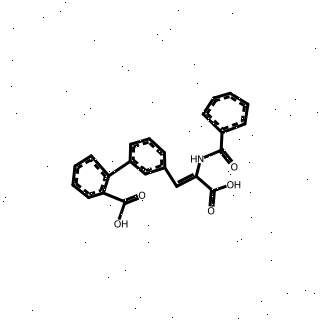 O=C(O)/C(=C/c1cccc(-c2ccccc2C(=O)O)c1)NC(=O)c1ccccc1